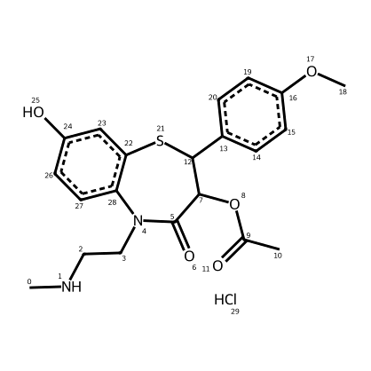 CNCCN1C(=O)C(OC(C)=O)C(c2ccc(OC)cc2)Sc2cc(O)ccc21.Cl